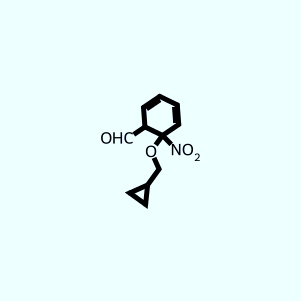 O=CC1C=CC=CC1(OCC1CC1)[N+](=O)[O-]